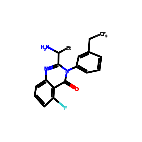 CCC(N)c1nc2cccc(F)c2c(=O)n1-c1cccc(CC(F)(F)F)c1